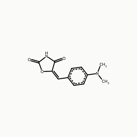 CN(C)c1ccc(C=C2OC(=O)NC2=O)cc1